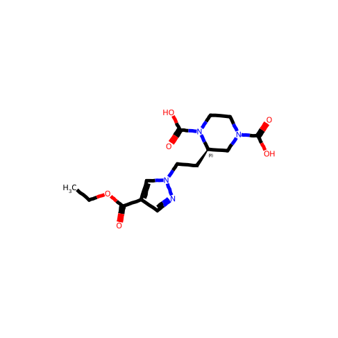 CCOC(=O)c1cnn(CC[C@@H]2CN(C(=O)O)CCN2C(=O)O)c1